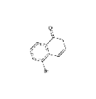 O=C1CC=Cc2c(Br)cccc21